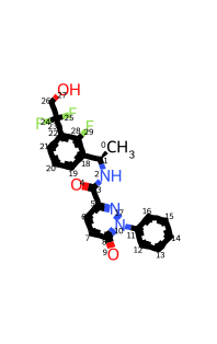 C[C@@H](NC(=O)c1ccc(=O)n(-c2ccccc2)n1)c1cccc(C(F)(F)CO)c1F